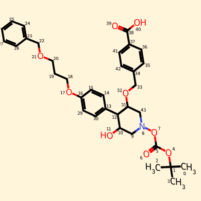 CC(C)(C)OC(=O)ON1CC(O)C(c2ccc(OCCCOCc3ccccc3)cc2)C(OCc2ccc(C(=O)O)cc2)C1